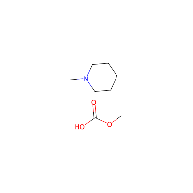 CN1CCCCC1.COC(=O)O